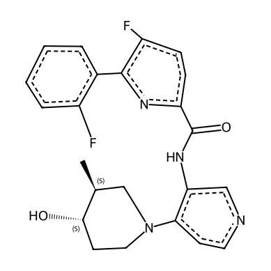 C[C@H]1CN(c2ccncc2NC(=O)c2ccc(F)c(-c3ccccc3F)n2)CC[C@@H]1O